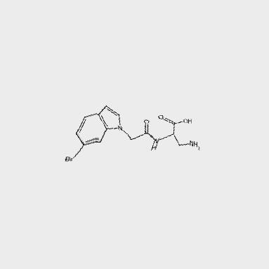 NCC(NC(=O)Cn1ccc2ccc(Br)cc21)C(=O)O